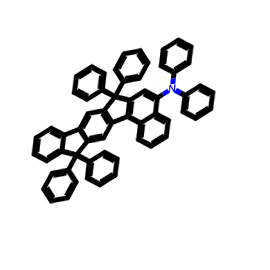 c1ccc(N(c2ccccc2)c2cc3c(c4ccccc24)-c2cc4c(cc2C3(c2ccccc2)c2ccccc2)-c2ccccc2C4(c2ccccc2)c2ccccc2)cc1